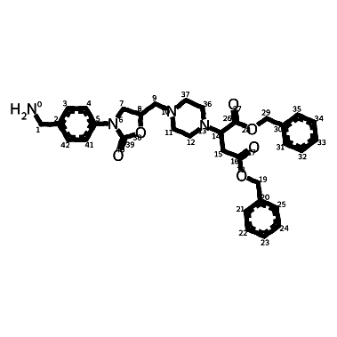 NCc1ccc(N2CC(CN3CCN(C(CC(=O)OCc4ccccc4)C(=O)OCc4ccccc4)CC3)OC2=O)cc1